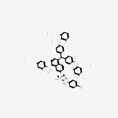 CCC(C)c1ccc(S(=O)(=O)NS(=O)(=O)c2ccc3c(C(c4ccc(Nc5c(C)cc(C)cc5C)cc4)c4ccc(Nc5c(C)cc(C)cc5C)cc4)ccc(Nc4c(C)cc(C)cc4C)c3c2)cc1